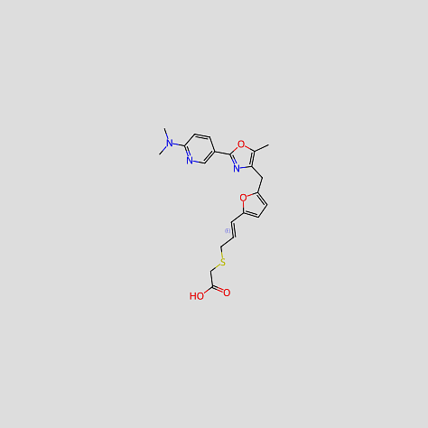 Cc1oc(-c2ccc(N(C)C)nc2)nc1Cc1ccc(/C=C/CSCC(=O)O)o1